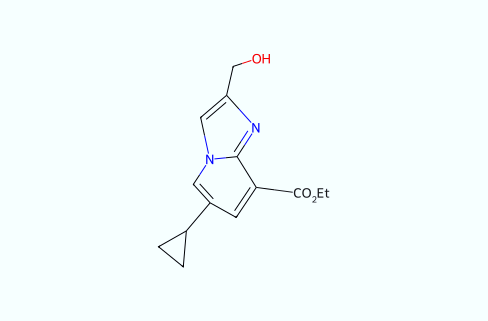 CCOC(=O)c1cc(C2CC2)cn2cc(CO)nc12